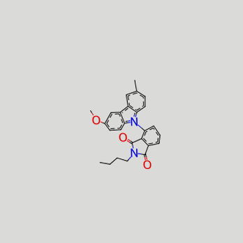 CCCCN1C(=O)c2cccc(-n3c4ccc(C)cc4c4cc(OC)ccc43)c2C1=O